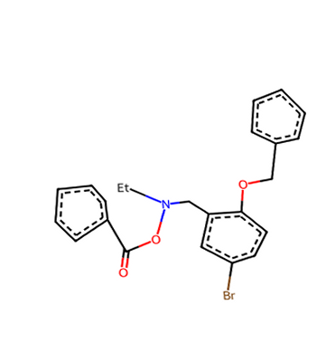 CCN(Cc1cc(Br)ccc1OCc1ccccc1)OC(=O)c1ccccc1